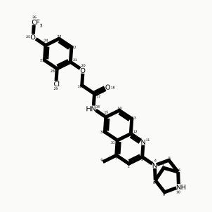 Cc1cc(N2CC3CC2CN3)nc2ccc(NC(=O)COc3ccc(OC(F)(F)F)cc3Cl)cc12